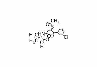 CC(=O)SC(CC(=O)N[C@H](C(=O)O)C(C)C)C(=O)c1cccc(Cl)c1